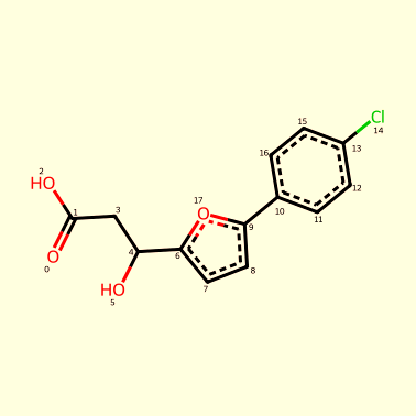 O=C(O)CC(O)c1ccc(-c2ccc(Cl)cc2)o1